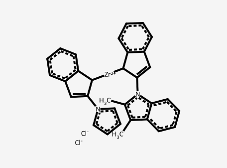 Cc1c(C)n(C2=Cc3ccccc3[CH]2[Zr+2][CH]2C(n3cccc3)=Cc3ccccc32)c2ccccc12.[Cl-].[Cl-]